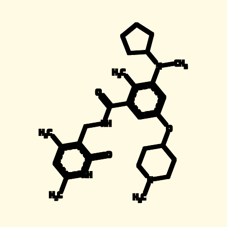 Cc1cc(C)c(CNC(=O)c2cc(OC3CCN(C)CC3)cc(N(C)C3CCCC3)c2C)c(=O)[nH]1